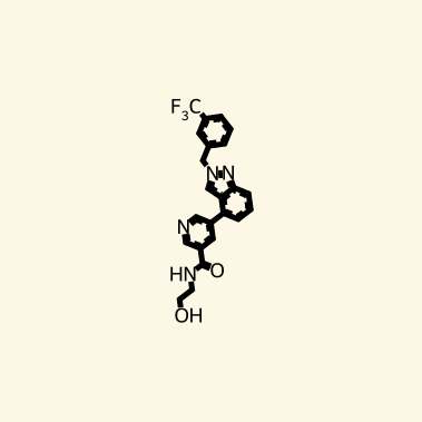 O=C(NCCO)c1cncc(-c2cccc3nn(Cc4cccc(C(F)(F)F)c4)cc23)c1